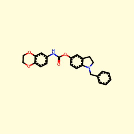 O=C(Nc1ccc2c(c1)OCCO2)Oc1ccc2c(c1)CCN2Cc1ccccc1